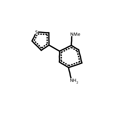 CNc1ccc(N)cc1-c1ccsc1